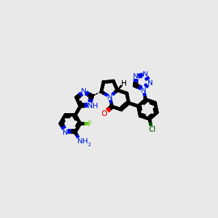 Nc1nccc(-c2cnc([C@@H]3CC[C@@H]4CC(c5cc(Cl)ccc5-n5cnnn5)=CC(=O)N43)[nH]2)c1F